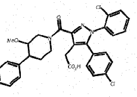 COC1CN(C(=O)c2nn(-c3ccccc3Cl)c(-c3ccc(Cl)cc3)c2CC(=O)O)CCC1c1ccccc1